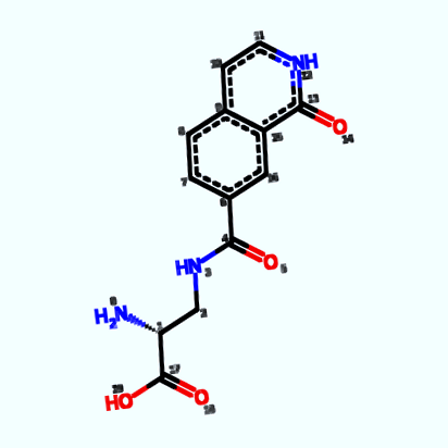 N[C@H](CNC(=O)c1ccc2cc[nH]c(=O)c2c1)C(=O)O